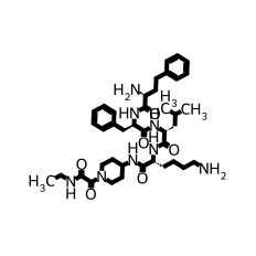 CCNC(=O)C(=O)N1CCC(NC(=O)[C@@H](CCCCN)NC(=O)[C@@H](CC(C)C)NC(=O)[C@@H](Cc2ccccc2)NC(=O)[C@H](N)CCc2ccccc2)CC1